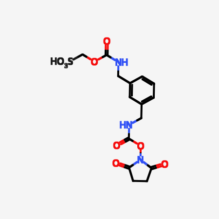 O=C(NCc1cccc(CNC(=O)ON2C(=O)CCC2=O)c1)OCS(=O)(=O)O